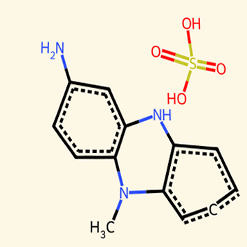 CN1c2ccccc2Nc2cc(N)ccc21.O=S(=O)(O)O